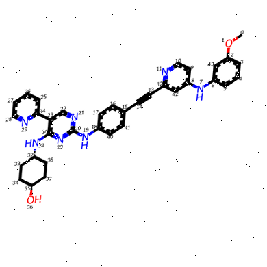 COc1cccc(Nc2ccnc(C#Cc3ccc(Nc4ncc(-c5ccccn5)c(N[C@H]5CC[C@H](O)CC5)n4)cc3)c2)c1